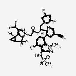 Cn1nc(NS(C)(=O)=O)c2c(Cl)ccc(-c3cc(C#N)cnc3[C@H](Cc3cc(F)cc(F)c3)NC(=O)Cn3nc(C(F)F)c4c3C(F)(F)C3C[C@H]43)c21